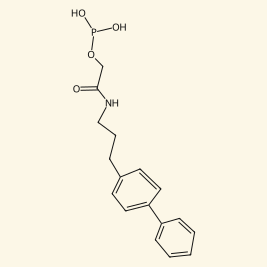 O=C(COP(O)O)NCCCc1ccc(-c2ccccc2)cc1